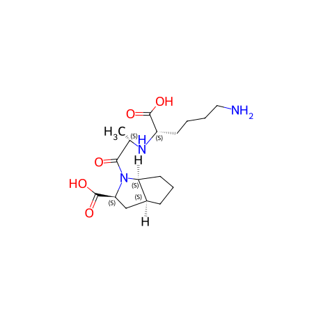 C[C@H](N[C@@H](CCCCN)C(=O)O)C(=O)N1[C@H](C(=O)O)C[C@@H]2CCC[C@@H]21